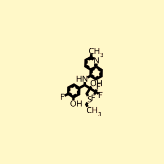 CCSCC(O)(C(Nc1cccc2nc(C)ccc12)c1ccc(F)c(O)c1)C(F)(F)F